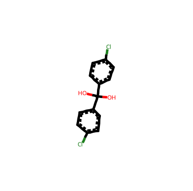 OC(O)(c1ccc(Cl)cc1)c1ccc(Cl)cc1